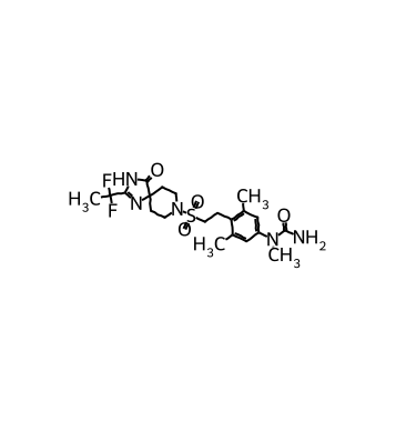 Cc1cc(N(C)C(N)=O)cc(C)c1CCS(=O)(=O)N1CCC2(CC1)N=C(C(C)(F)F)NC2=O